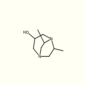 CC1CN2CC(O)CN1C(C)C2